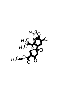 CCOC(=O)C1=CN(C(CO)C(C)C)C(Cl)(c2cnc(OC)c(Cl)c2)CC1=O